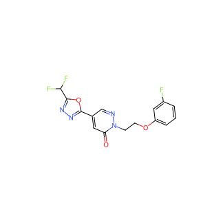 O=c1cc(-c2nnc(C(F)F)o2)cnn1CCOc1cccc(F)c1